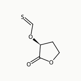 O=C1OCC[C@@H]1OC=S